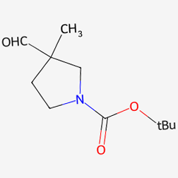 CC1(C=O)CCN(C(=O)OC(C)(C)C)C1